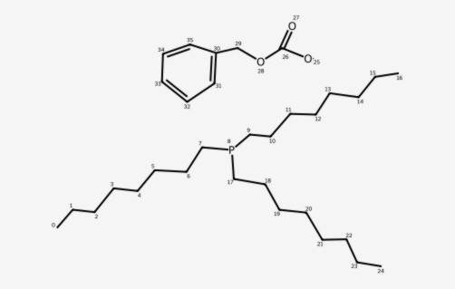 CCCCCCCCP(CCCCCCCC)CCCCCCCC.[O]C(=O)OCc1ccccc1